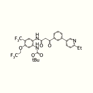 CCc1ccc(-c2cccc(C(=O)CC(=O)Nc3cc(C(F)(F)F)c(OCC(F)(F)F)cc3NC(=O)OC(C)(C)C)c2)cn1